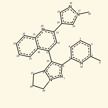 Cc1cccc(-c2nn3c(c2-c2cc(-c4cnn(C)c4)nc4ccccc24)CCC3)n1